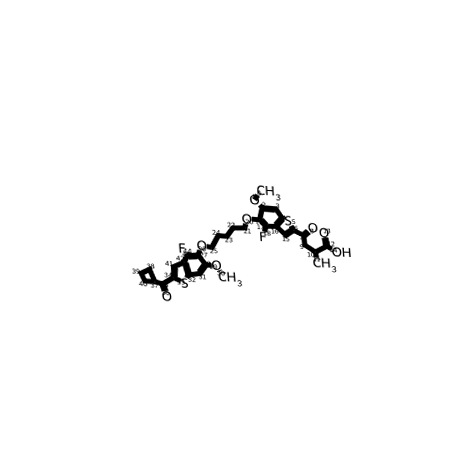 COc1cc2sc(C(=O)CC(C)C(=O)O)cc2c(F)c1OCCCCCOc1c(OC)cc2sc(C(=O)C3CCC3)cc2c1F